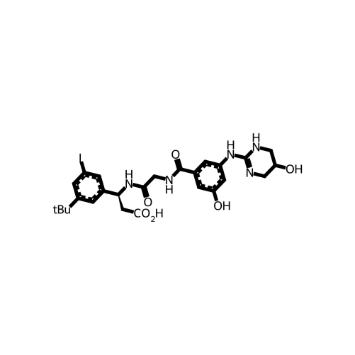 CC(C)(C)c1cc(I)cc([C@H](CC(=O)O)NC(=O)CNC(=O)c2cc(O)cc(NC3=NCC(O)CN3)c2)c1